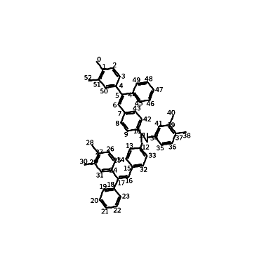 Cc1ccc(C(=Cc2ccc(N(c3ccc(C=C(c4ccccc4)c4ccc(C)c(C)c4)cc3)c3ccc(C)c(C)c3)cc2)c2ccccc2)cc1C